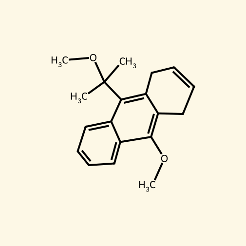 COc1c2c(c(C(C)(C)OC)c3ccccc13)CC=CC2